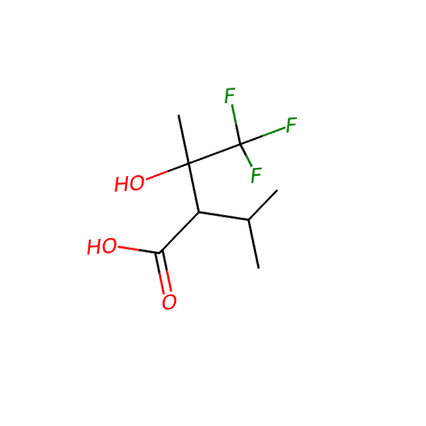 CC(C)C(C(=O)O)C(C)(O)C(F)(F)F